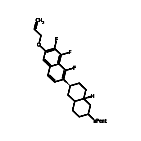 C=CCOc1cc2ccc([C@@H]3CC[C@@H]4CC(CCCCC)CCC4C3)c(F)c2c(F)c1F